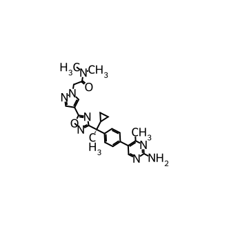 Cc1nc(N)ncc1-c1ccc([C@@](C)(c2noc(-c3cnn(CC(=O)N(C)C)c3)n2)C2CC2)cc1